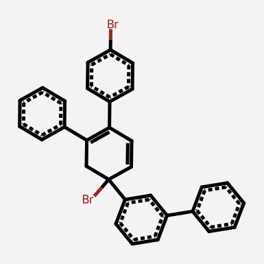 Brc1ccc(C2=C(c3ccccc3)CC(Br)(c3cccc(-c4ccccc4)c3)C=C2)cc1